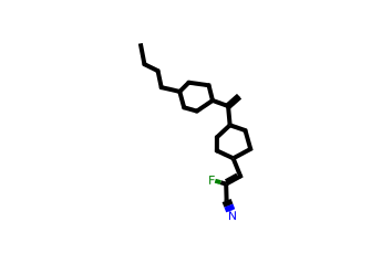 C=C(C1CCC(C=C(F)C#N)CC1)C1CCC(CCCC)CC1